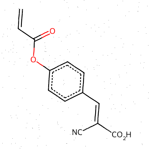 C=CC(=O)Oc1ccc(/C=C(\C#N)C(=O)O)cc1